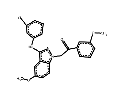 COc1cccc(C(=O)Cn2nc(Nc3cccc(Cl)c3)c3cc(OC)ccc32)c1